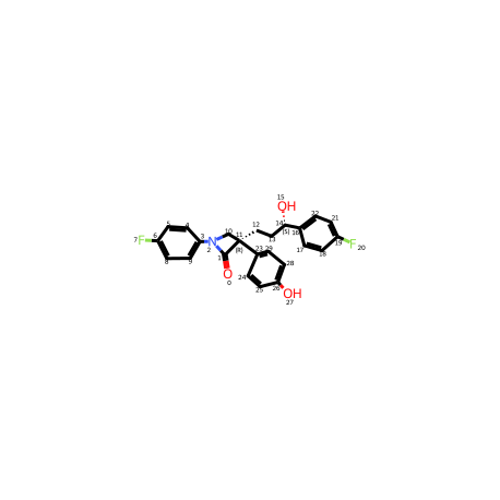 O=C1N(c2ccc(F)cc2)C[C@@]1(CC[C@H](O)c1ccc(F)cc1)c1ccc(O)cc1